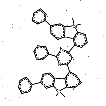 C[Si]1(C)c2cc(-c3ccccc3)ccc2-c2c(-c3nc(-c4ccccc4)nc(-c4cccc5c4-c4ccc(-c6ccccc6)cc4[Si]5(C)C)n3)cccc21